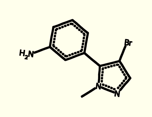 Cn1ncc(Br)c1-c1cccc(N)c1